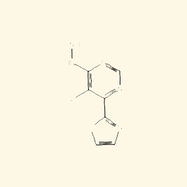 NNc1ncnc(-c2ncco2)c1Br